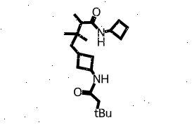 CC(C(=O)NC1CCC1)C(C)(C)CC1CC(NC(=O)CC(C)(C)C)C1